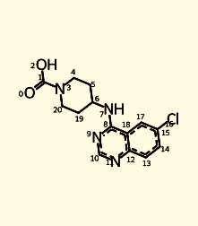 O=C(O)N1CCC(Nc2ncnc3ccc(Cl)cc23)CC1